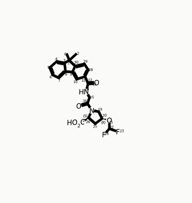 CC1(C)c2ccccc2-c2cc(C(=O)NCC(=O)N3C[C@H](OC(F)F)C[C@H]3C(=O)O)ccc21